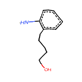 [NH]c1ccccc1CCCO